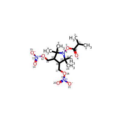 CC(C)C(=O)ON1C(C)(C)C(CO[N+](=O)[O-])C(CO[N+](=O)[O-])C1(C)C